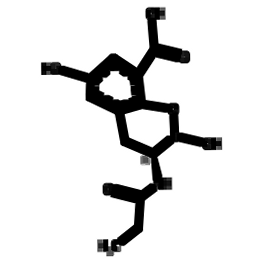 CCC(=O)N[C@H]1Cc2cc(O)cc(C(=O)O)c2OB1O